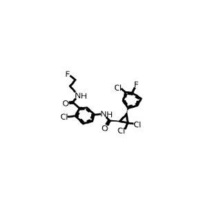 O=C(NCCF)c1cc(NC(=O)[C@H]2[C@H](c3ccc(F)c(Cl)c3)C2(Cl)Cl)ccc1Cl